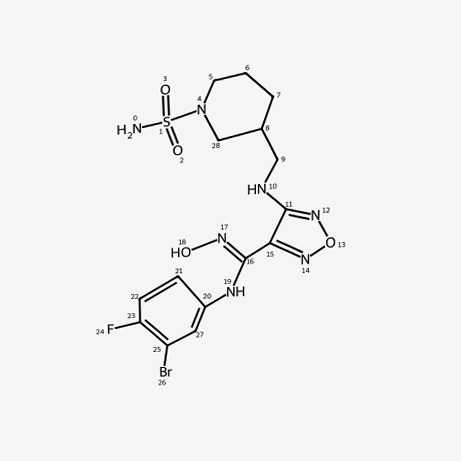 NS(=O)(=O)N1CCCC(CNc2nonc2C(=NO)Nc2ccc(F)c(Br)c2)C1